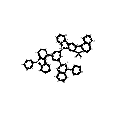 CC1(C)c2cc3c(cc2-c2c1ccc1ccccc21)c1ccccc1n3-c1cc(C2=c3c(n(-c4ccccc4)c4ccccc34)=CCC2)cc(-c2nc(-c3ccccc3)c3ccccc3n2)c1